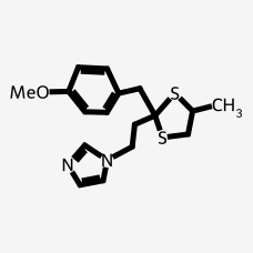 COc1ccc(CC2(CCn3ccnc3)SCC(C)S2)cc1